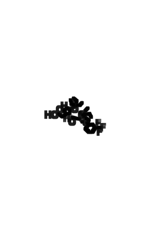 CC[Si](CC)(CC)O[C@@H](COc1cccc(C(F)(F)F)c1)C1O[C@@H]1[C@@H]1[C@H]2CC(O)O[C@H]2C[C@H]1O[Si](CC)(CC)CC